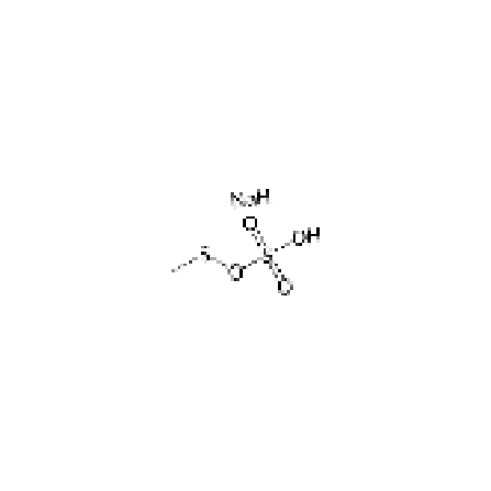 CSOS(=O)(=O)O.[NaH]